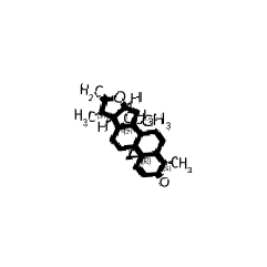 C=C1O[C@H]2C[C@@]3(C)C4CCC5[C@H](C)C(=O)C=C[C@@]56C[C@@]46CC[C@]3(C)[C@H]2[C@@H]1C